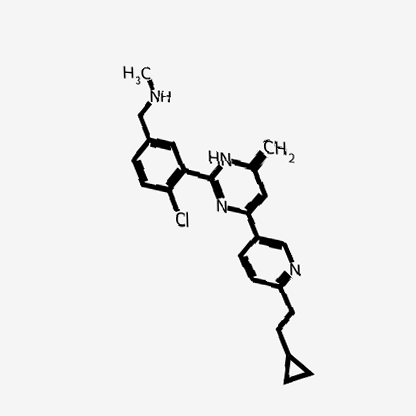 C=C1C=C(c2ccc(CCC3CC3)nc2)N=C(c2cc(CNC)ccc2Cl)N1